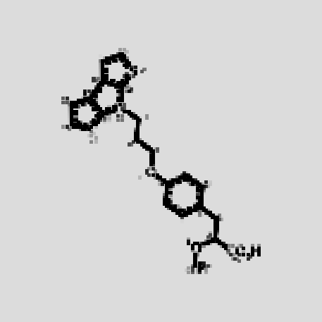 CCCOC(Cc1ccc(OCCCn2c3sccc3c3ccsc32)cc1)C(=O)O